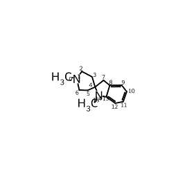 CN1CCC2(CC1)Cc1ccccc1N2C